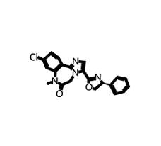 CN1C(=O)Cn2c(C3=N[C@@H](c4ccccc4)CO3)cnc2-c2ccc(Cl)cc21